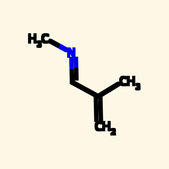 C=C(C)C=NC